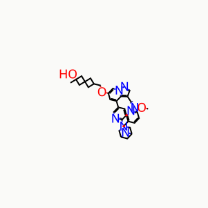 COc1ccc(CN2C3CC2CN(c2ccc(-c4cc(OCC5CC6(C5)CC(C)(O)C6)cn5ncc(C#N)c45)cn2)C3)cn1